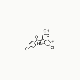 O=C(O)Cc1c(C(=O)c2ccc(Cl)cc2)[nH]c2cc(Cl)c(F)cc12